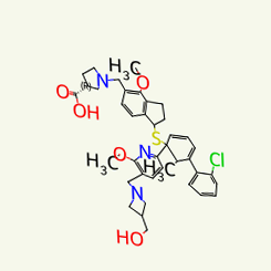 COc1nc(C2(SC3CCc4c3ccc(CN3CC[C@@H](C(=O)O)C3)c4OC)C=CC=C(c3ccccc3Cl)C2C)ccc1CN1CC(CO)C1